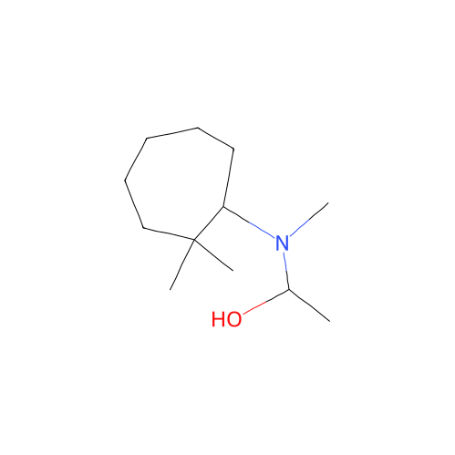 CC(O)N(C)C1CCCCCC1(C)C